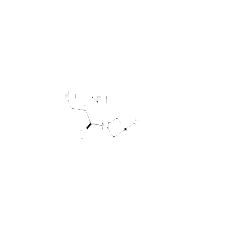 CC(C)C[C@H](N)C(=O)N1CC(F)(F)C1